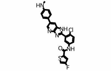 CNc1ccc(-c2cnc3nc(-c4cc(NC(=O)c5cc(F)cs5)ccc4Cl)[nH]c3c2)cc1